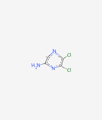 Nc1[c]nc(Cl)c(Cl)n1